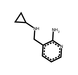 Nc1ncccc1CNC1CC1